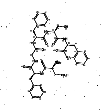 CN[C@@H](CC(=O)O)C(=O)N[C@@H](Cc1ccccc1)C(=O)NCC(=O)N[C@@H](Cc1ccccc1)C(=O)N[C@@H](CO)C(=O)N[C@@H](Cc1ccccc1)C(N)=O